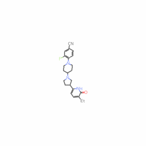 CCc1ccc(C2CCN(C3CCN(c4ccc(C#N)cc4F)CC3)C2)[nH]c1=O